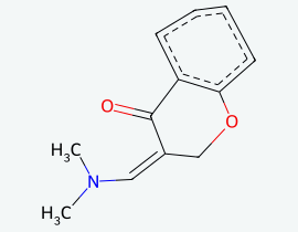 CN(C)C=C1COc2ccccc2C1=O